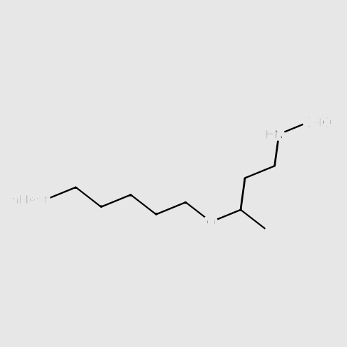 CCCCCCCCCCCCOC(C)CCN[C]=O